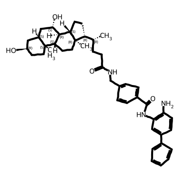 C[C@H](CCC(=O)NCc1ccc(C(=O)Nc2cc(-c3ccccc3)ccc2N)cc1)[C@H]1CC[C@H]2[C@@H]3[C@@H](O)C[C@@H]4C[C@H](O)CC[C@]4(C)[C@H]3CC[C@]12C